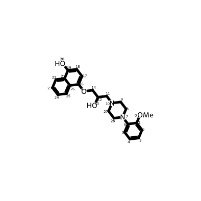 COc1ccccc1N1CCN(CC(O)COc2ccc(O)c3ccccc23)CC1